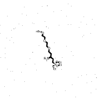 CCCCOCCOCCOCCC(N)CC[Si](OCC)(OCC)OCC